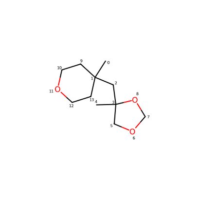 CC1(CC2(C)COCO2)CCOCC1